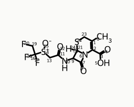 CC1=C(C(=O)O)N2C(=O)C(NC(=O)C[S+]([O-])C(F)(F)CF)[C@@H]2SC1